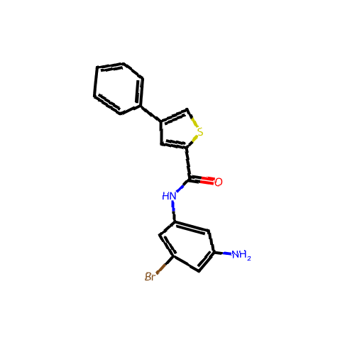 Nc1cc(Br)cc(NC(=O)c2cc(-c3ccccc3)cs2)c1